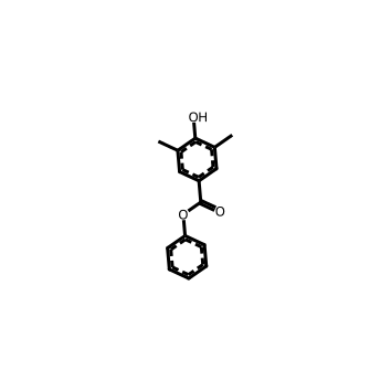 Cc1cc(C(=O)Oc2ccccc2)cc(C)c1O